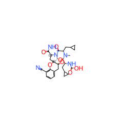 CN(C(=O)C(CC1CC1)NC(=O)O)C(CC1CC1)C(=O)N1C[C@@]2(C[C@H]1C(N)=O)Oc1c(C#N)cccc1CC2=O